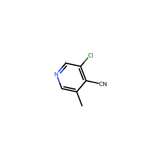 Cc1cn[c]c(Cl)c1C#N